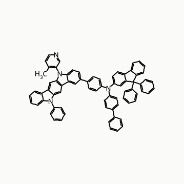 Cc1ccncc1-n1c2ccc(-c3ccc(N(c4ccc(-c5ccccc5)cc4)c4ccc5c(c4)C(c4ccccc4)(c4ccccc4)c4ccccc4-5)cc3)cc2c2cc3c(cc21)c1ccccc1n3-c1ccccc1